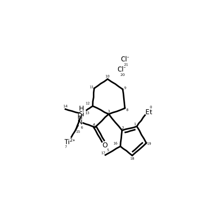 CCC1=C(C2(C(=O)[NH][Ti+2])CCCCC2[SiH](C)C)C(C)C=C1.[Cl-].[Cl-]